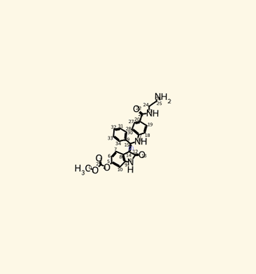 COC(=O)Oc1ccc2c(c1)NC(=O)/C2=C(\Nc1ccc(C(=O)NCCN)cc1)c1ccccc1